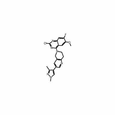 COc1cc2c(N3CCc4ncc(-c5cn(C)nc5C)cc4C3)nc(Cl)nc2cc1F